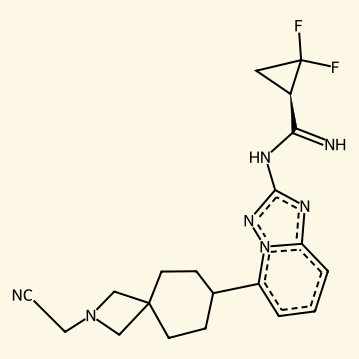 N#CCN1CC2(CCC(c3cccc4nc(NC(=N)[C@H]5CC5(F)F)nn34)CC2)C1